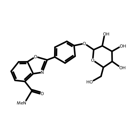 CNC(=O)c1cccc2oc(-c3ccc(OC4OC(CO)C(O)C(O)C4O)cc3)nc12